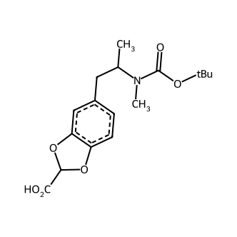 CC(Cc1ccc2c(c1)OC(C(=O)O)O2)N(C)C(=O)OC(C)(C)C